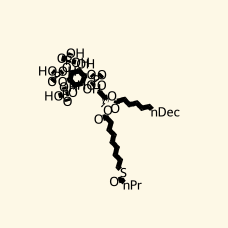 CCCCCCCCCCCCCCCC(=O)O[C@H](COC(=O)CCCCCCCCSC(=O)CCC)COP(=O)(O)OC1C(O)[C@@H](OP(=O)(O)O)C(OP(=O)(O)O)[C@@H](OP(=O)(O)O)[C@H]1O